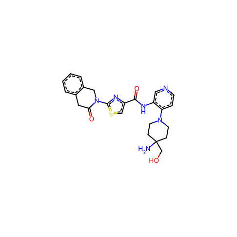 NC1(CO)CCN(c2ccncc2NC(=O)c2csc(N3Cc4ccccc4CC3=O)n2)CC1